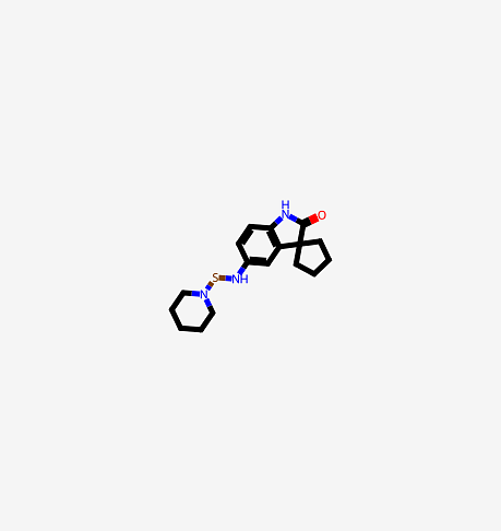 O=C1Nc2ccc(NSN3CCCCC3)cc2C12CCCC2